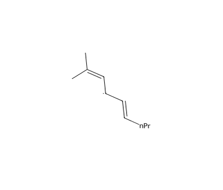 CCCC=C[CH]C=C(C)C